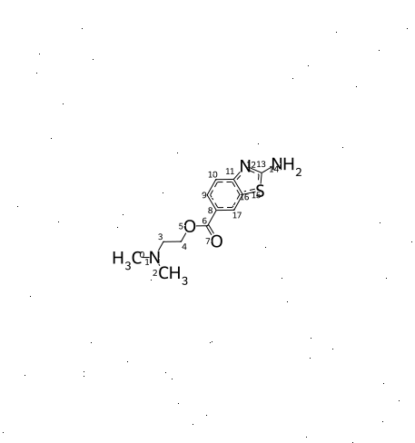 CN(C)CCOC(=O)c1ccc2nc(N)sc2c1